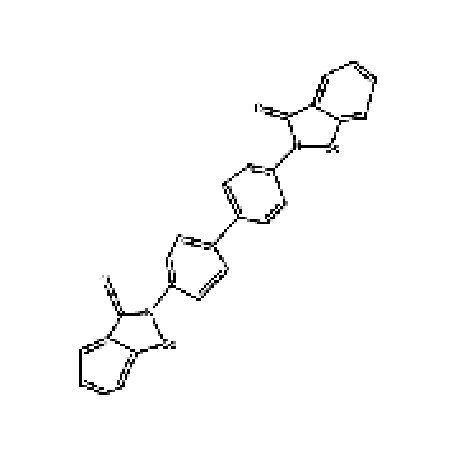 O=c1c2ccccc2[se]n1-c1ccc(-c2ccc(-n3[se]c4ccccc4c3=O)cc2)cc1